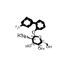 CC(=O)N[C@H]1[C@H](Oc2ccccc2-c2cccc(C(F)(F)F)c2)O[C@H](CO)[C@H](O)[C@@H]1O